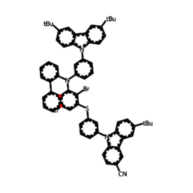 CC(C)(C)c1ccc2c(c1)c1cc(C#N)ccc1n2-c1cccc(Sc2cc(Cl)cc(N(c3cccc(-n4c5ccc(C(C)(C)C)cc5c5cc(C(C)(C)C)ccc54)c3)c3ccccc3-c3ccccc3)c2Br)c1